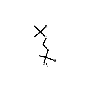 CC(C)C(C)(N)CCOC(C)(C)C(C)C